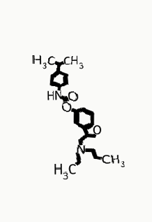 CCCN(CCC)CC1COc2ccc(OC(=O)Nc3ccc(C(C)C)cc3)cc21